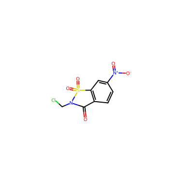 O=C1c2ccc([N+](=O)[O-])cc2S(=O)(=O)N1CCl